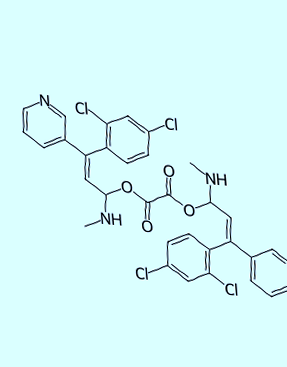 CNC(C=C(c1cccnc1)c1ccc(Cl)cc1Cl)OC(=O)C(=O)OC(C=C(c1cccnc1)c1ccc(Cl)cc1Cl)NC